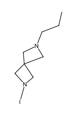 CCCN1CC2(CN(I)C2)C1